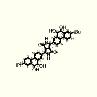 CC(C)c1ccc2c(c1)C(O)C(O)c1cc(C3=C4C(=O)NC(c5ccc6c(c5)C(O)C(O)c5cc(C(C)(C)C)ccc5-6)=C4C(=O)N3)ccc1-2